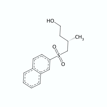 C[C@@H](CCO)CS(=O)(=O)c1ccc2ccccc2c1